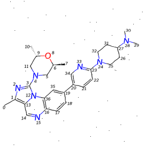 Cc1nc(N2C[C@H](C)O[C@@H](C)C2)n2c1cnc1ccc(-c3ccc(N4CCC(N(C)C)CC4)nc3)cc12